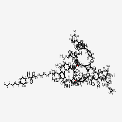 CCCCCCc1ccc(NC(=O)NCCCCCCNCc2c(O)cc3c(c2C)-c2cc(ccc2O)[C@H]2NC(=O)[C@@H]4NC(=O)[C@H](CC(N)=O)NC(=O)[C@H](NC(=O)[C@@H](CC(C)C)NC)[C@H](O)c5ccc(c(C)c5)Oc5cc4cc(c5O[C@@H]4O[C@H](CO)[C@@H](O)[C@H](O)[C@H]4O[C@H]4C[C@](C)(NC(=O)NC5CC5)[C@H](O)[C@H](C)O4)Oc4ccc(cc4Cl)[C@@H](O)[C@H](NC2=O)C(=O)N[C@@H]3C(=O)O)cc1